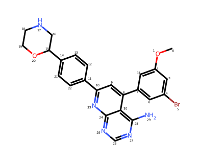 COc1cc(Br)cc(-c2cc(-c3ccc(C4CNCCO4)cc3)nc3ncnc(N)c23)c1